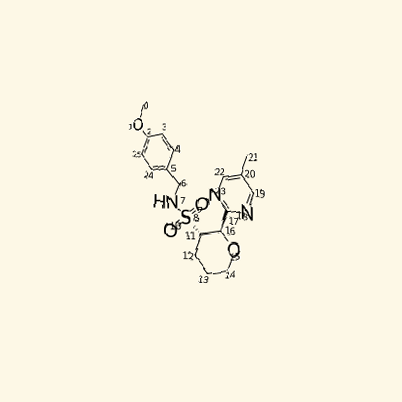 COc1ccc(CNS(=O)(=O)[C@H]2CCCO[C@@H]2c2ncc(C)cn2)cc1